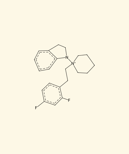 Fc1ccc(CC[N+]2(N3CCc4ccccc43)CCCCC2)c(F)c1